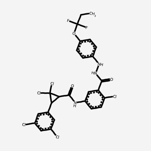 CCC(F)(F)Oc1ccc(NNC(=O)c2cc(NC(=O)C3C(c4cc(Cl)cc(Cl)c4)C3(Cl)Cl)ccc2Cl)cc1